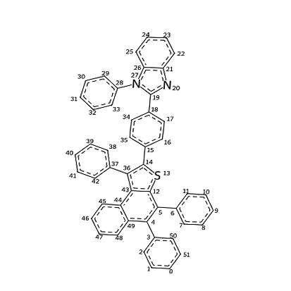 c1ccc(-c2c(-c3ccccc3)c3sc(-c4ccc(-c5nc6ccccc6n5-c5ccccc5)cc4)c(-c4ccccc4)c3c3ccccc23)cc1